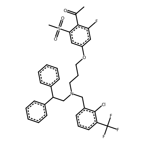 CC(=O)c1c(F)cc(OCCCN(Cc2cccc(C(F)(F)F)c2Cl)CC(c2ccccc2)c2ccccc2)cc1S(C)(=O)=O